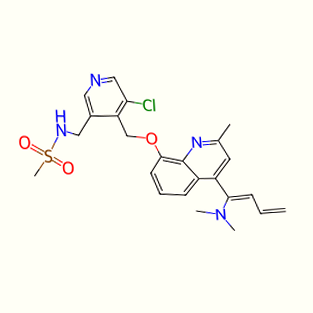 C=C/C=C(/c1cc(C)nc2c(OCc3c(Cl)cncc3CNS(C)(=O)=O)cccc12)N(C)C